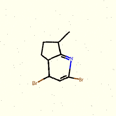 CC1CCC2C1=NC(Br)=CC2Br